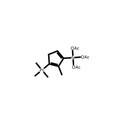 CC(=O)O[Si](OC(C)=O)(OC(C)=O)C1=CC[C]([Pt]([CH3])([CH3])[CH3])=C1C